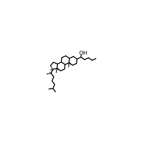 CCCCC(O)C1CC[C@@]2(C)C(CCC3C2CC[C@@]2(C)C3CC[C@@H]2[C@H](C)CCCC(C)C)C1